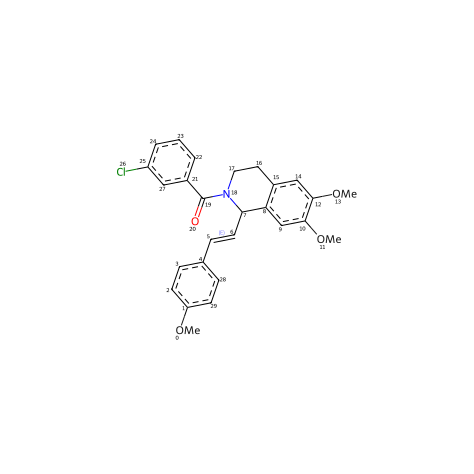 COc1ccc(/C=C/C2c3cc(OC)c(OC)cc3CCN2C(=O)c2cccc(Cl)c2)cc1